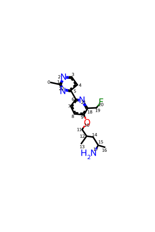 Cc1nccc(-c2ccc(OCC(C)CC(C)N)c(CF)n2)n1